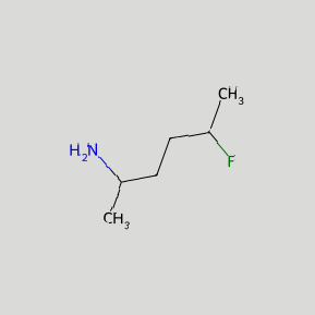 CC(N)CCC(C)F